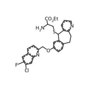 CCOC(=O)C(N)CSC1c2cc(OCc3ccc4cc(F)c(Cl)cc4n3)ccc2CCc2ncccc21